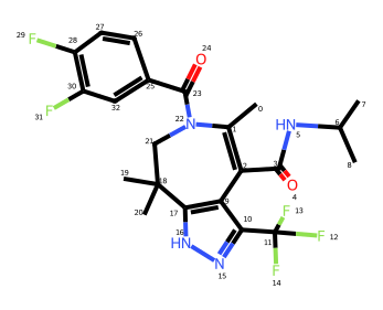 CC1=C(C(=O)NC(C)C)c2c(C(F)(F)F)n[nH]c2C(C)(C)CN1C(=O)c1ccc(F)c(F)c1